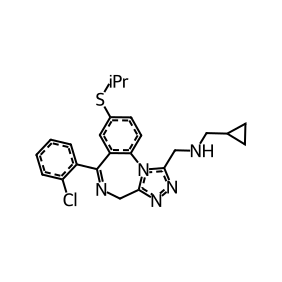 CC(C)Sc1ccc2c(c1)C(c1ccccc1Cl)=NCc1nnc(CNCC3CC3)n1-2